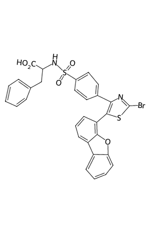 O=C(O)C(Cc1ccccc1)NS(=O)(=O)c1ccc(-c2nc(Br)sc2-c2cccc3c2oc2ccccc23)cc1